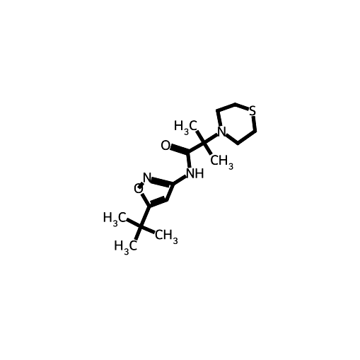 CC(C)(C)c1cc(NC(=O)C(C)(C)N2CCSCC2)no1